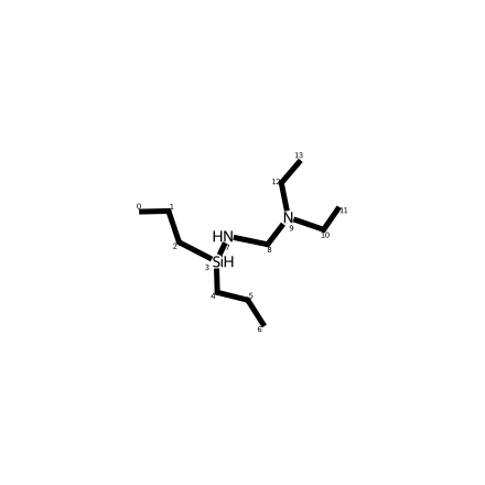 CCC[SiH](CCC)NCN(CC)CC